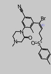 Cc1ccc([S+]([O-])CC/C=C(/Br)c2cc(C#N)cc(N3CCN(C)CC3=O)c2C)cc1